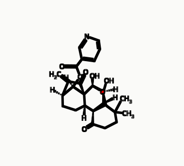 C=C1C(=O)[C@]23[C@H](OC(=O)c4cccnc4)[C@H]1CC[C@H]2[C@@]12CO[C@]3(O)[C@@H](O)[C@@H]1C(C)(C)CCC2=O